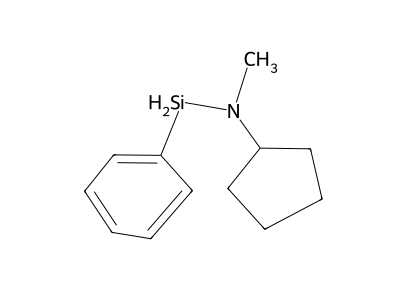 CN([SiH2]c1ccccc1)C1CCCC1